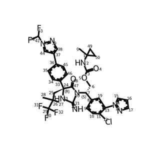 CC1(NC(=O)OC[C@H](c2ccc(Cl)c(-n3cccn3)c2)N2C(=N)N[C@](CC(C)(C)C(F)(F)F)(c3ccc(-c4cnn(C(F)F)c4)cc3)C2=O)CC1